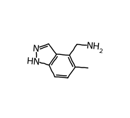 Cc1ccc2[nH]ncc2c1CN